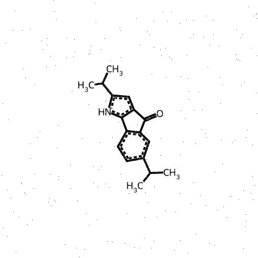 CC(C)c1ccc2c(c1)C(=O)c1cc(C(C)C)[nH]c1-2